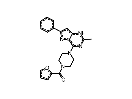 Cc1nc(N2CCN(C(=O)c3ccco3)CC2)c2nc(-c3ccccc3)cc-2[nH]1